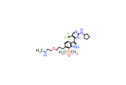 CNCCOCCCc1ccc2c(-c3nc(NC4CCCC4)ncc3C(F)(F)F)c[nH]c2c1P(C)(C)=O